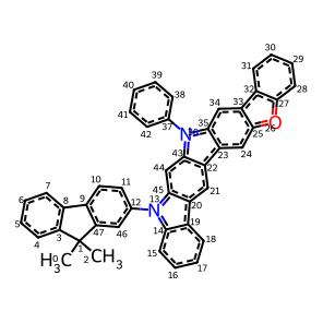 CC1(C)c2ccccc2-c2ccc(-n3c4ccccc4c4cc5c6cc7oc8ccccc8c7cc6n(-c6ccccc6)c5cc43)cc21